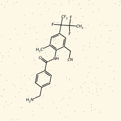 Cc1cc(C(F)(C(C)(F)F)C(F)(F)F)cc(CC#N)c1NC(=O)c1ccc(CN)cc1